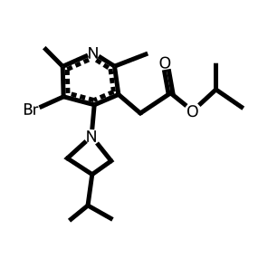 Cc1nc(C)c(CC(=O)OC(C)C)c(N2CC(C(C)C)C2)c1Br